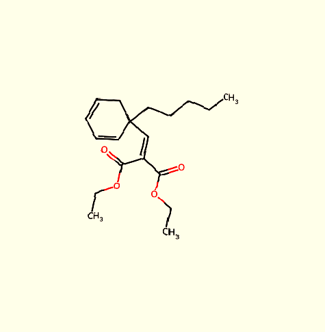 CCCCCC1(C=C(C(=O)OCC)C(=O)OCC)C=CC=CC1